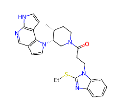 CCSc1nc2ccccc2n1CCC(=O)N1CC[C@@H](C)[C@@H](n2ccc3cnc4[nH]ccc4c32)C1